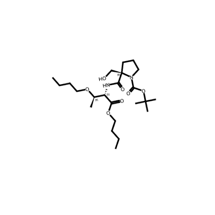 CCCCOC(=O)[C@@H](NC(=O)[C@]1(CO)CCCN1C(=O)OC(C)(C)C)[C@@H](C)OCCCC